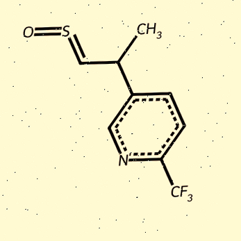 CC(C=S=O)c1ccc(C(F)(F)F)nc1